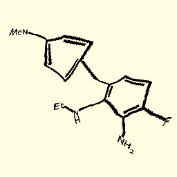 CCNc1c(-c2ccc(NC)cc2)ccc(F)c1N